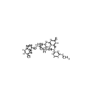 CCc1cccc(CNC[C@@H](O)[C@H](Cc2cc(F)cc(F)c2)NC(=O)COc2nnc3ccc(Cl)nn23)c1